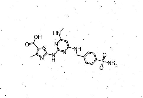 CNc1cc(NCc2ccc(S(N)(=O)=O)cc2)nc(Nc2nc(C)c(C(=O)O)s2)n1